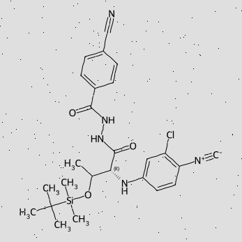 [C-]#[N+]c1ccc(N[C@@H](C(=O)NNC(=O)c2ccc(C#N)cc2)C(C)O[Si](C)(C)C(C)(C)C)cc1Cl